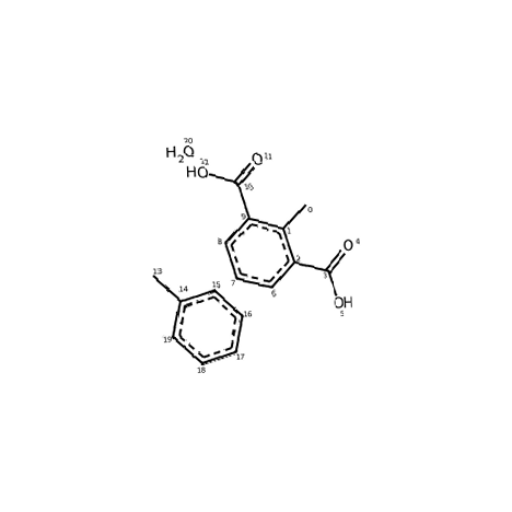 Cc1c(C(=O)O)cccc1C(=O)O.Cc1ccccc1.O